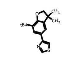 CC(C)(C)c1cc(-c2cscn2)cc2c1OCC2(C)C